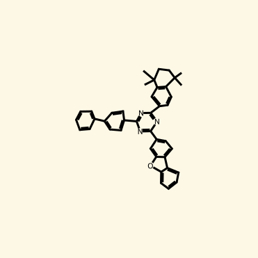 CC1(C)CCC(C)(C)c2cc(-c3nc(-c4ccc(-c5ccccc5)cc4)nc(-c4ccc5c(c4)oc4ccccc45)n3)ccc21